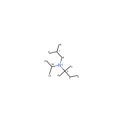 CCC(C)(C)N(CC(C)C)C(C)C